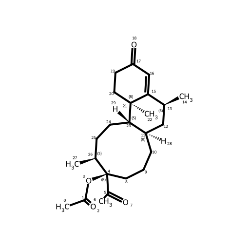 CC(=O)O[C@]1(C(C)=O)CCC[C@@H]2C[C@H](C)C3=CC(=O)CC[C@]3(C)[C@H]2CC[C@@H]1C